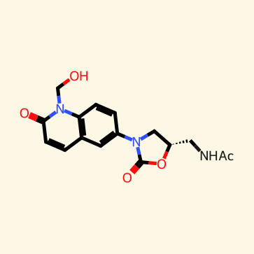 CC(=O)NC[C@H]1CN(c2ccc3c(ccc(=O)n3CO)c2)C(=O)O1